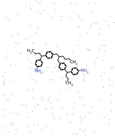 CCCCC(Cc1ccc(C(CCC)c2ccc(N)cc2)cc1)Cc1ccc(C(CCC)c2ccc(N)cc2)cc1